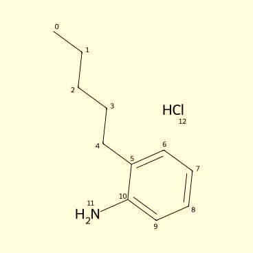 CCCCCc1ccccc1N.Cl